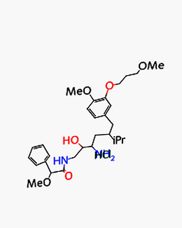 COCCCOc1cc(CC(CC(N)C(O)CNC(=O)C(OC)c2ccccc2)C(C)C)ccc1OC.Cl